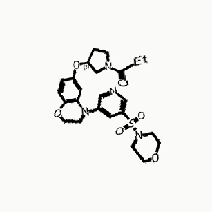 CCC(=O)N1CC[C@H](Oc2ccc3c(c2)N(c2cncc(S(=O)(=O)N4CCOCC4)c2)CCO3)C1